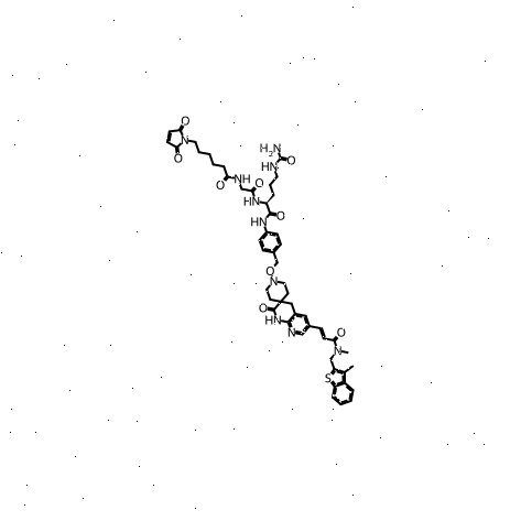 Cc1c(CN(C)C(=O)/C=C/c2cnc3c(c2)CC2(CCN(OCc4ccc(NC(=O)[C@H](CCCNC(N)=O)NC(=O)CNC(=O)CCCCCN5C(=O)C=CC5=O)cc4)CC2)C(=O)N3)sc2ccccc12